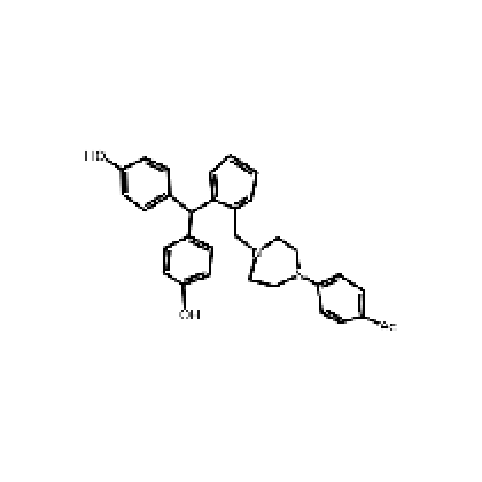 CC(=O)c1ccc(N2CCN(Cc3ccccc3C(c3ccc(O)cc3)c3ccc(O)cc3)CC2)cc1